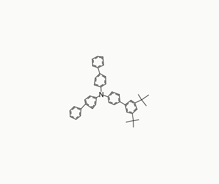 CC(C)(C)c1cc(-c2ccc(N(c3ccc(-c4ccccc4)cc3)c3ccc(-c4ccccc4)cc3)cc2)cc(C(C)(C)C)c1